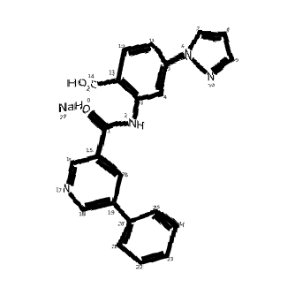 O=C(Nc1cc(-n2cccn2)ccc1C(=O)O)c1cncc(-c2ccccc2)c1.[NaH]